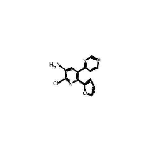 Nc1cc(-c2ccncn2)c(-c2ccco2)nc1Cl